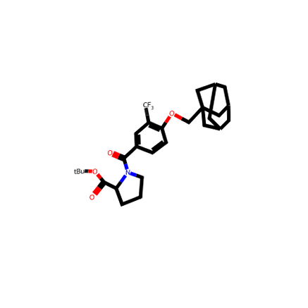 CC(C)(C)OC(=O)C1CCCN1C(=O)c1ccc(OCC23CC4CC(CC(C4)C2)C3)c(C(F)(F)F)c1